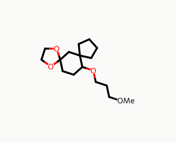 COCCCOC1CCC2(CC13CCCC3)OCCO2